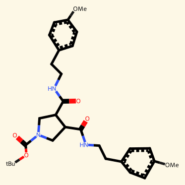 COc1ccc(CCNC(=O)C2CN(C(=O)OC(C)(C)C)CC2C(=O)NCCc2ccc(OC)cc2)cc1